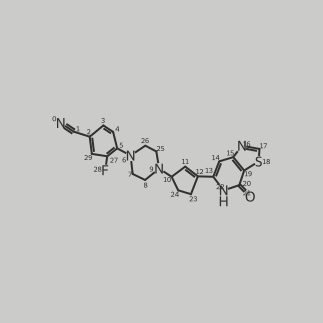 N#Cc1ccc(N2CCN(C3C=C(c4cc5ncsc5c(=O)[nH]4)CC3)CC2)c(F)c1